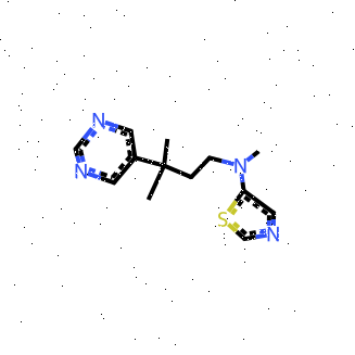 CN(CCC(C)(C)c1cncnc1)c1cncs1